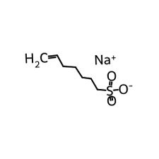 C=CCCCCCS(=O)(=O)[O-].[Na+]